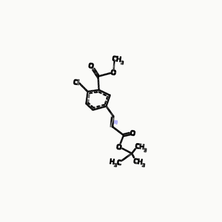 COC(=O)c1cc(/C=C/C(=O)OC(C)(C)C)ccc1Cl